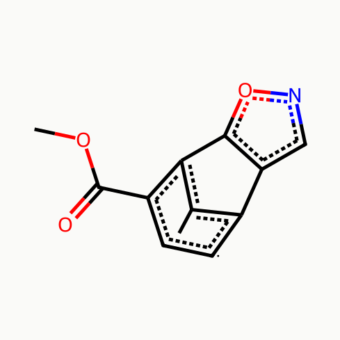 COC(=O)c1c[c]c2c(C)c1-c1oncc1-2